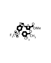 COC(=O)c1sc(-n2cnc3ccc(OS(=O)(=O)C(F)(F)F)cc32)cc1O[C@H](C)c1ccccc1C(F)(F)F